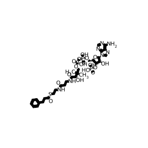 CC(C)(COP(=O)(O)OP(=O)(O)OC[C@H]1O[C@@H](n2cnc3c(N)ncnc32)[C@H](O)[C@@H]1OP(=O)(O)O)[C@@H](O)C(=O)NCCC(=O)NCCSC(=O)CCc1ccccc1